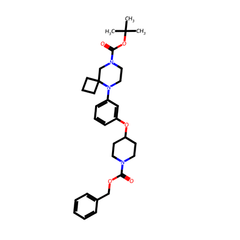 CC(C)(C)OC(=O)N1CCN(c2cccc(OC3CCN(C(=O)OCc4ccccc4)CC3)c2)C2(CCC2)C1